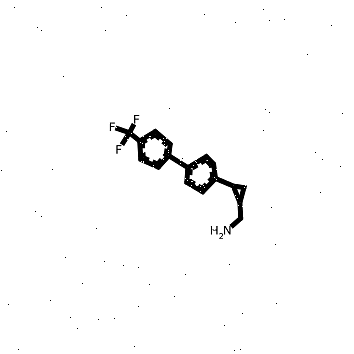 NCC1CC1c1ccc(-c2ccc(C(F)(F)F)cc2)cc1